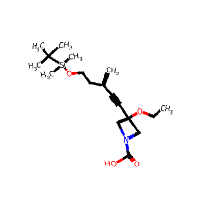 C=C(C#CC1(OCC)CN(C(=O)O)C1)CCO[Si](C)(C)C(C)(C)C